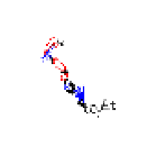 CCOC(=O)c1cnn(C2CCN(CCOCCOCCNC(=O)OC(C)(C)C)CC2)c1